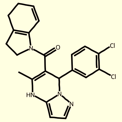 CC1=C(C(=O)N2CCC3=C2C=CCC3)C(c2ccc(Cl)c(Cl)c2)n2nccc2N1